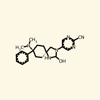 CN(C)[C@]1(c2ccccc2)CC[C@]2(CC1)CN(c1cnc(C#N)nc1)C(O)N2